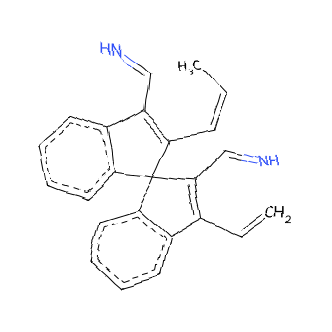 C=CC1=C(C=N)C2(C(/C=C\C)=C(C=N)c3ccccc32)c2ccccc21